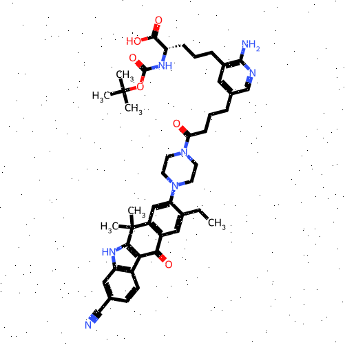 CCc1cc2c(cc1N1CCN(C(=O)CCCc3cnc(N)c(CCC[C@H](NC(=O)OC(C)(C)C)C(=O)O)c3)CC1)C(C)(C)c1[nH]c3cc(C#N)ccc3c1C2=O